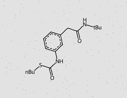 CCCCSC(=O)Nc1cccc(CC(=O)NC(C)(C)C)c1